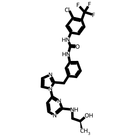 C[C@H](O)CNc1nccc(-n2ccnc2Cc2cccc(NC(=O)Nc3ccc(C(F)(F)F)c(Cl)c3)c2)n1